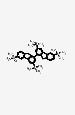 C[Si](C)(C)c1ccc2c(c1)-c1cc([Si](C)(C)C)cc(-c3cc([Si](C)(C)C)cc4c3Cc3ccc([Si](C)(C)C)cc3-4)c1C2